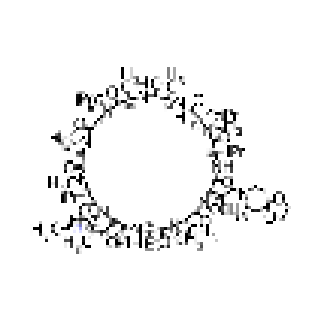 C/C=C/C[C@@H](C)[C@@H](O)[C@H]1C(=O)N[C@@H](CC)C(=O)N(C)C(C)C(=O)N(C)[C@@H]([C@H](C)CN2CCC3(CC2)OCCO3)C(=O)N[C@@H](C(C)C)C(=O)N(C)[C@@H](CC(C)C)C(=O)N[C@@H](C)C(=O)N[C@H](C)C(=O)N(C)[C@@H](CC(C)C)C(=O)N(C)[C@@H](CC(C)C)C(=O)N(C)[C@@H](C(C)C)C(=O)N1C